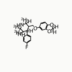 [2H]C1([2H])Oc2ccc(OCC3C([2H])([2H])NC([2H])([2H])C([2H])([2H])[C@@]3([2H])c3ccc(F)cc3)cc2O1